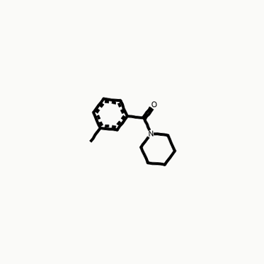 Cc1cccc(C(=O)N2CCCCC2)c1